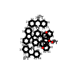 CC(C)C1c2ccccc2N(c2cc(N3c4ccccc4C(C(C)C)c4ccccc43)cc(C3(c4cc(N5c6ccccc6C(C(C)C)c6ccccc65)cc(N5c6ccccc6C(C(C)C)c6ccccc65)c4)c4ccccc4-c4ccccc43)c2)c2ccccc21